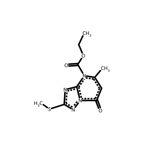 CCOC(=O)n1c(C)cc(=O)n2nc(SC)nc12